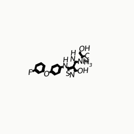 CC(CO)NC(=N)c1c(O)nsc1Nc1ccc(Oc2cccc(F)c2)cc1